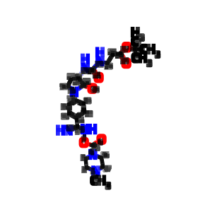 CN1CCN(C(=O)ONC(=N)c2ccc(N3CC[C@H](NC(=O)NCCC(=O)OC(C)(C)C)C3=O)cc2)CC1